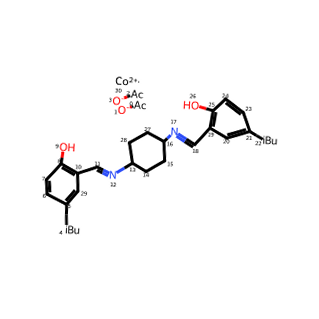 CC(=O)[O-].CC(=O)[O-].CCC(C)c1ccc(O)c(C=NC2CCC(N=Cc3cc(C(C)CC)ccc3O)CC2)c1.[Co+2]